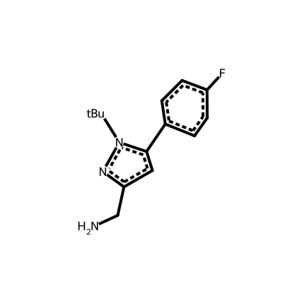 CC(C)(C)n1nc(CN)cc1-c1ccc(F)cc1